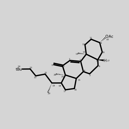 C=C1C=C2C(CC[C@H]3C[C@@H](OC(C)=O)CC[C@]23C)C2CCC([C@H](C)CCCC(C)(C)C)[C@@]12C